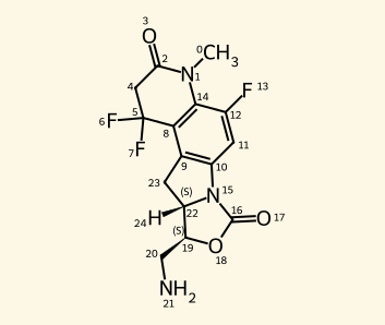 CN1C(=O)CC(F)(F)c2c3c(cc(F)c21)N1C(=O)O[C@@H](CN)[C@@H]1C3